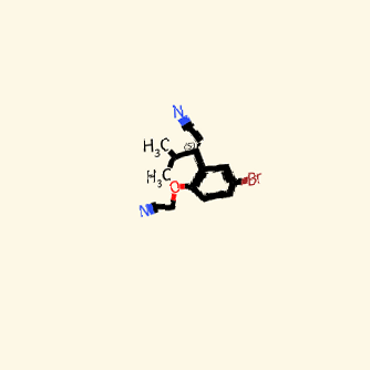 CC(C)[C@H](CC#N)c1cc(Br)ccc1OCC#N